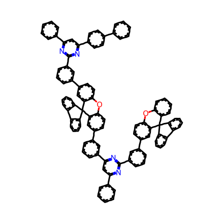 c1ccc(-c2ccc(-c3cc(-c4ccccc4)nc(-c4cccc(-c5ccc6c(c5)C5(c7cc(-c8cccc(-c9cc(-c%10ccccc%10)nc(-c%10cccc(-c%11ccc%12c(c%11)C%11(c%13ccccc%13O%12)c%12ccccc%12-c%12ccccc%12%11)c%10)n9)c8)ccc7O6)c6ccccc6-c6ccccc65)c4)n3)cc2)cc1